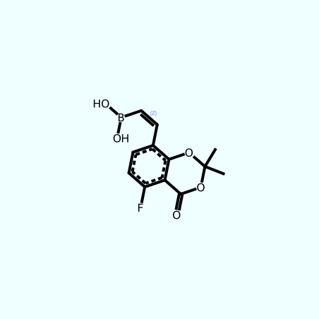 CC1(C)OC(=O)c2c(F)ccc(/C=C\B(O)O)c2O1